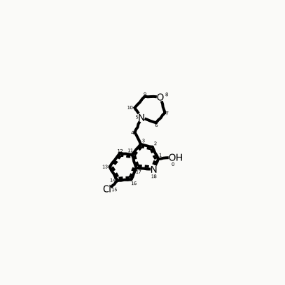 Oc1cc(CN2CCOCC2)c2ccc(Cl)cc2n1